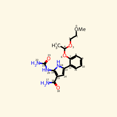 COCCOC(C)Oc1ccccc1-c1cc(C(N)=O)c(NC(N)=O)[nH]1